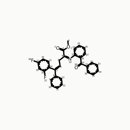 COC(=O)C(CC=C(c1ccccc1)c1ccc(F)cc1F)=Nc1ccccc1C(=O)c1ccccc1